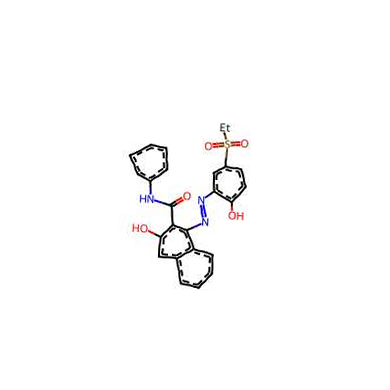 CCS(=O)(=O)c1ccc(O)c(N=Nc2c(C(=O)Nc3ccccc3)c(O)cc3ccccc23)c1